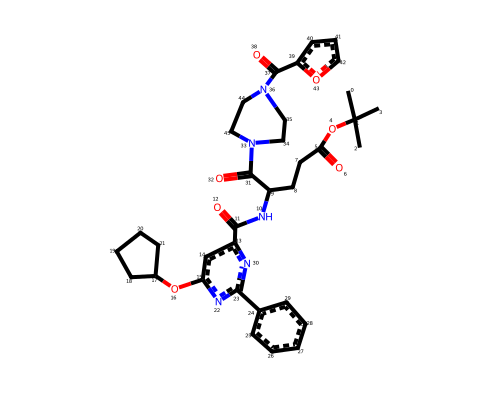 CC(C)(C)OC(=O)CCC(NC(=O)c1cc(OC2CCCC2)nc(-c2ccccc2)n1)C(=O)N1CCN(C(=O)c2ccco2)CC1